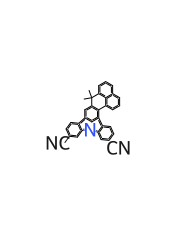 CC1(C)c2cc3c4ccc(C#N)cc4n4c5cc(C#N)ccc5c(c2-c2cccc5cccc1c25)c34